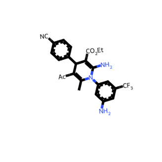 CCOC(=O)C1=C(N)N(c2cc(N)cc(C(F)(F)F)c2)C(C)=C(C(C)=O)C1c1ccc(C#N)cc1